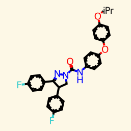 CC(C)Oc1ccc(Oc2ccc(NC(=O)N3CC(c4ccc(F)cc4)C(c4ccc(F)cc4)=N3)cc2)cc1